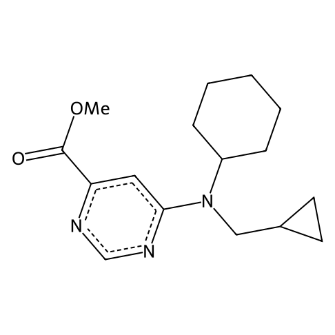 COC(=O)c1cc(N(CC2CC2)C2CCCCC2)ncn1